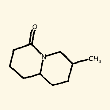 CC1CCC2CCCC(=O)N2C1